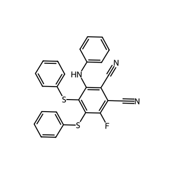 N#Cc1c(F)c(Sc2ccccc2)c(Sc2ccccc2)c(Nc2ccccc2)c1C#N